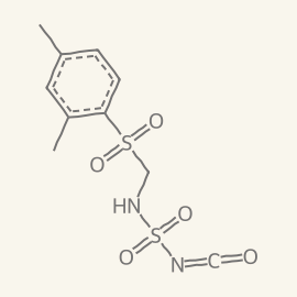 Cc1ccc(S(=O)(=O)CNS(=O)(=O)N=C=O)c(C)c1